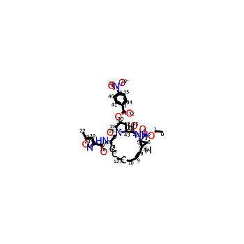 CCOC(=O)[C@@]12C[C@H]1C=CCCCCC[C@H](NC(=O)c1cc(C)on1)C(=O)N1C[C@H](OC(=O)c3ccc([N+](=O)[O-])cc3)C[C@H]1C(=O)N2